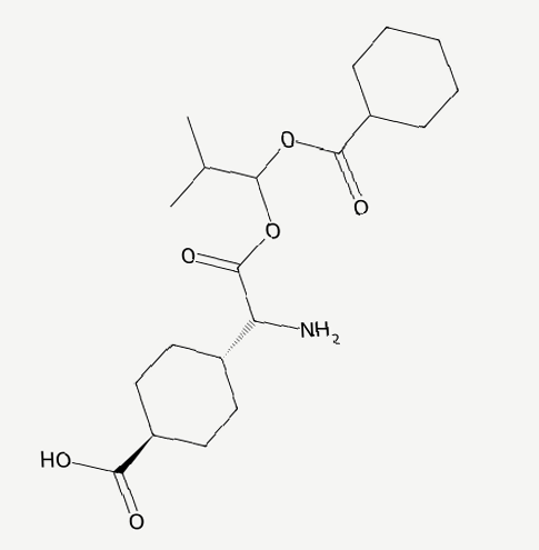 CC(C)C(OC(=O)C1CCCCC1)OC(=O)C(N)[C@H]1CC[C@H](C(=O)O)CC1